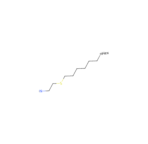 CCCCCCCCCCCCSCC[N]